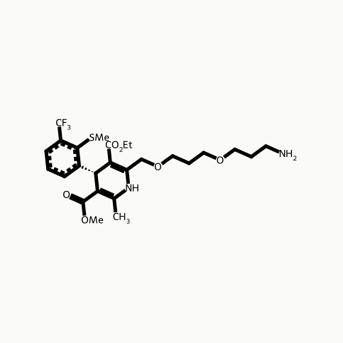 CCOC(=O)C1=C(COCCCOCCCN)NC(C)=C(C(=O)OC)[C@@H]1c1cccc(C(F)(F)F)c1SC